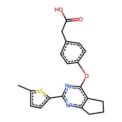 Cc1ccc(-c2nc3c(c(Oc4ccc(CC(=O)O)cc4)n2)CCC3)s1